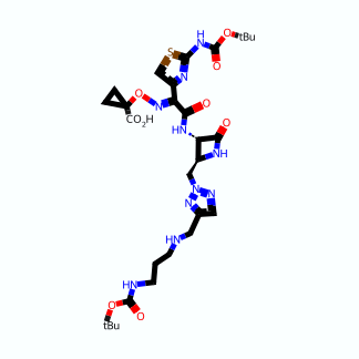 CC(C)(C)OC(=O)NCCCNCc1cnn(C[C@@H]2NC(=O)[C@H]2NC(=O)C(=NOC2(C(=O)O)CC2)c2csc(NC(=O)OC(C)(C)C)n2)n1